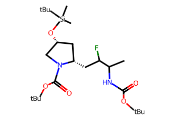 CC(NC(=O)OC(C)(C)C)C(F)C[C@H]1C[C@@H](O[Si](C)(C)C(C)(C)C)CN1C(=O)OC(C)(C)C